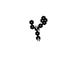 c1ccc(-c2cccc(-c3cc(-c4ccc(-c5ccncc5)cc4)nc(-c4ccc(-c5ccc6ccc7cccc8ccc5c6c78)cc4)n3)c2)cc1